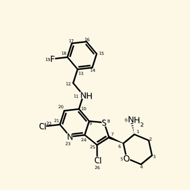 N[C@@H]1CCCO[C@H]1c1sc2c(NCc3ccccc3F)cc(Cl)nc2c1Cl